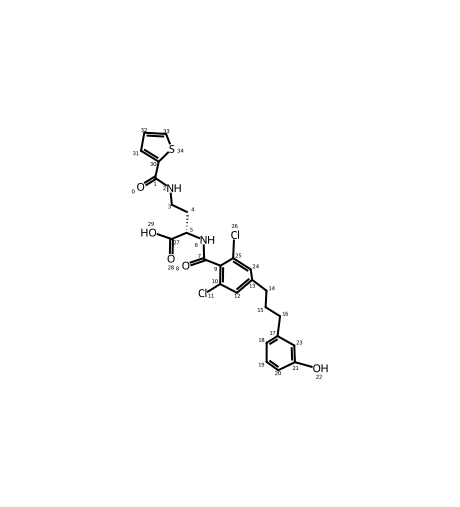 O=C(NCC[C@H](NC(=O)c1c(Cl)cc(CCCc2cccc(O)c2)cc1Cl)C(=O)O)c1cccs1